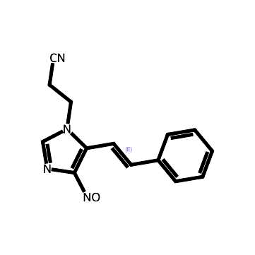 N#CCCn1cnc(N=O)c1/C=C/c1ccccc1